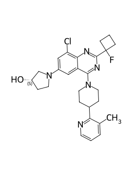 Cc1cccnc1C1CCN(c2nc(C3(F)CCC3)nc3c(Cl)cc(N4CC[C@H](O)C4)cc23)CC1